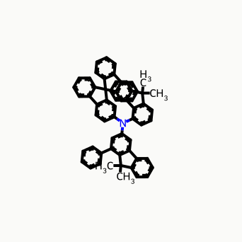 CC1(C)c2ccccc2-c2c(N(c3cc(-c4ccccc4)c4c(c3)-c3ccccc3C4(C)C)c3ccc4c(c3)C3(c5ccccc5-c5ccccc53)c3ccccc3-4)cccc21